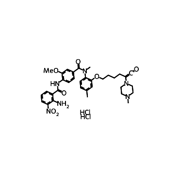 COc1cc(C(=O)N(C)c2ccc(C)cc2OCCCCC(=C=O)N2CCN(C)CC2)ccc1NC(=O)c1cccc([N+](=O)[O-])c1N.Cl.Cl